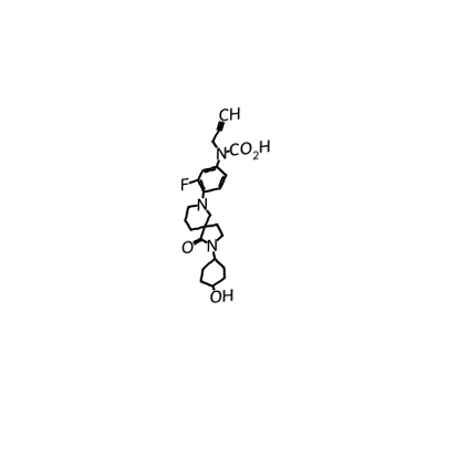 C#CCN(C(=O)O)c1ccc(N2CCCC3(CCN(C4CCC(O)CC4)C3=O)C2)c(F)c1